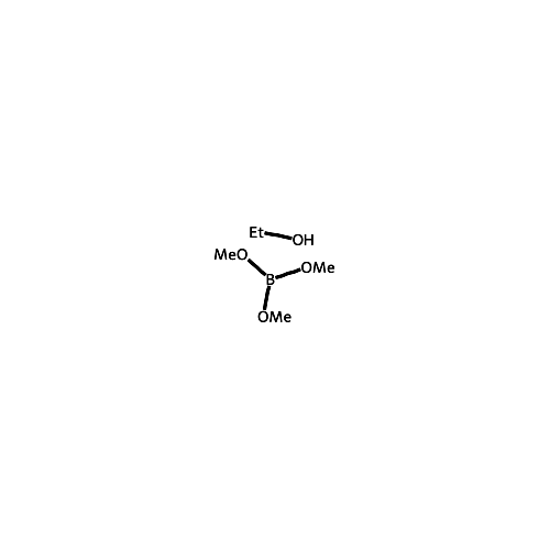 CCO.COB(OC)OC